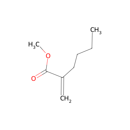 C=C(CCCC)C(=O)OC